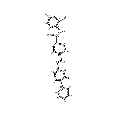 Cc1cc(C)c2oc(-c3ccc(C=Cc4ccc(-c5ccccc5)cc4)cc3)nc2c1